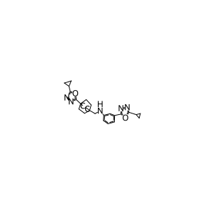 c1cc(NCC23CCC(c4nnc(C5CC5)o4)(CC2)CC3)cc(-c2nnc(C3CC3)o2)c1